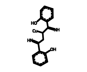 N=C(C[CH]([Cu])C(=N)c1ccccc1O)c1ccccc1O